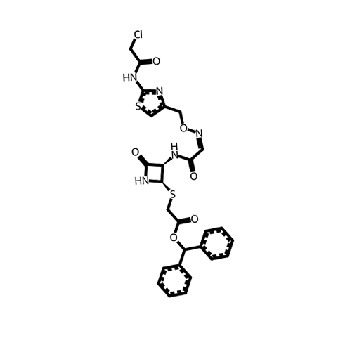 O=C(/C=N\OCc1csc(NC(=O)CCl)n1)N[C@@H]1C(=O)N[C@@H]1SCC(=O)OC(c1ccccc1)c1ccccc1